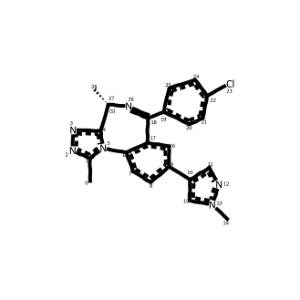 Cc1nnc2n1-c1ccc(-c3cnn(C)c3)cc1C(c1ccc(Cl)cc1)=N[C@H]2C